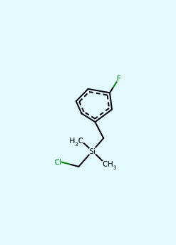 C[Si](C)(CCl)Cc1cccc(F)c1